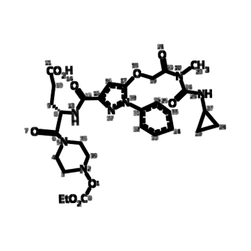 CCOC(=O)ON1CCN(C(=O)[C@H](CCC(=O)O)NC(=O)c2cc(OCC(=O)N(C)C(=O)NC3CC3)n(-c3ccccc3)n2)CC1